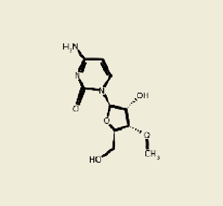 CO[C@H]1[C@@H](O)[C@H](n2ccc(N)nc2=O)O[C@@H]1CO